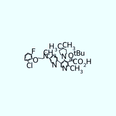 Cc1ncc(-c2ccc(N(C)CCOc3c(F)cccc3Cl)cn2)c(N2CCC(C)(C)CC2)c1[C@H](OC(C)(C)C)C(=O)O